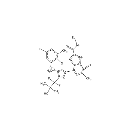 CCNC(=O)c1cc2c(-c3sc(C(F)(F)C(C)(C)O)c(C)c3Oc3c(C)cc(F)cc3C)cn(C)c(=O)c2[nH]1